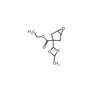 CCOC(=O)C1(C2OC(C)O2)CC2OC2C1